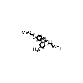 COCCOc1ccc(/N=C(/NCCCN)N2CCC(C)CC2)cc1